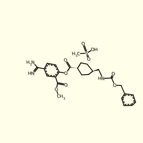 COC(=O)c1cc(C(=N)N)ccc1OC(=O)[C@H]1CC[C@H](CNC(=O)OCc2ccccc2)CC1.CS(=O)(=O)O